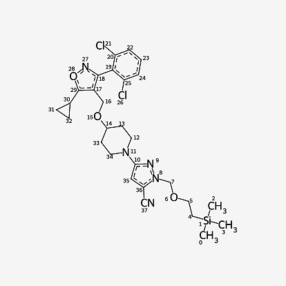 C[Si](C)(C)CCOCn1nc(N2CCC(OCc3c(-c4c(Cl)cccc4Cl)noc3C3CC3)CC2)cc1C#N